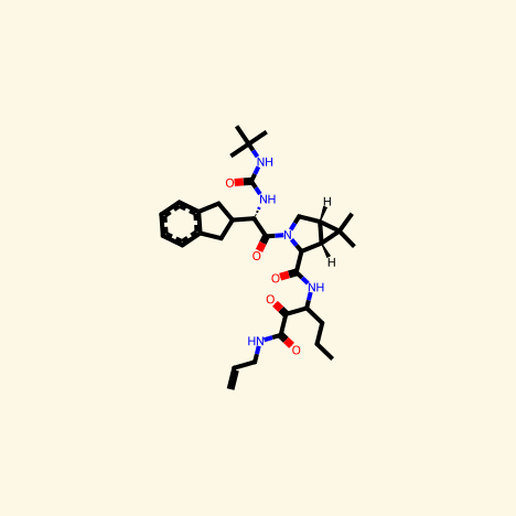 C=CCNC(=O)C(=O)C(CCC)NC(=O)C1[C@@H]2[C@H](CN1C(=O)[C@@H](NC(=O)NC(C)(C)C)C1Cc3ccccc3C1)C2(C)C